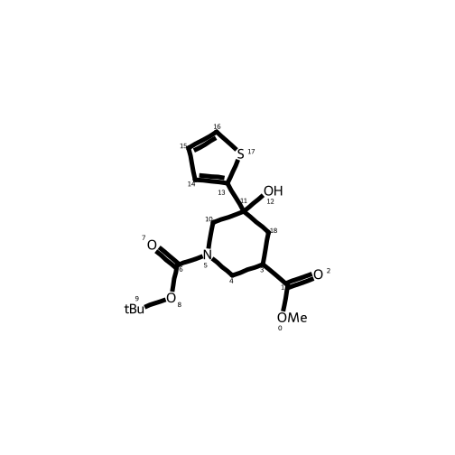 COC(=O)C1CN(C(=O)OC(C)(C)C)CC(O)(c2cccs2)C1